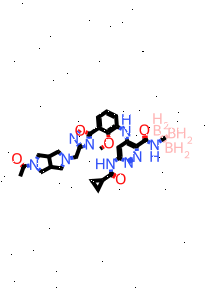 BC(B)(B)NC(=O)c1nnc(NC(=O)C2CC2)cc1Nc1cccc(-c2nc(CN3CC4CN(C(C)=O)CC4C3)no2)c1OC